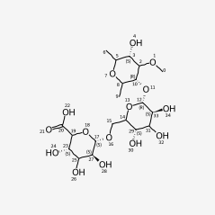 COC1[C@@H](O)C(C)OC(C)[C@H]1O[C@H]1OC(CO[C@H]2OC(C(=O)O)[C@@H](O)C(O)[C@@H]2O)[C@@H](O)C(O)[C@@H]1O